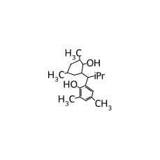 Cc1cc(C)c(O)c(C(C(C)C)C2CC(C)CC(C)C2O)c1